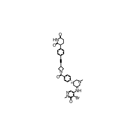 CN1C[C@H](Nc2cnn(C)c(=O)c2Br)C[C@H](c2ccc(C(=O)N3CC(C#Cc4ccc(C5CCC(=O)NC5=O)cc4)C3)cc2)C1